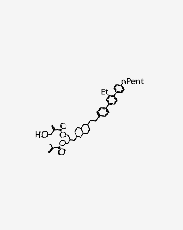 C=C(C)C(=O)OCC(COC(=O)C(=C)CO)CC1CCC2CC(CCc3ccc(-c4ccc(-c5ccc(CCCCC)cc5)c(CC)c4)cc3)CCC2C1